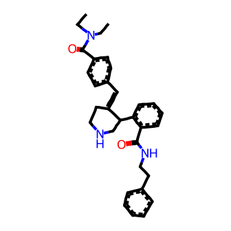 CCN(CC)C(=O)c1ccc(C=C2CCNCC2c2ccccc2C(=O)NCCc2ccccc2)cc1